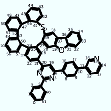 c1ccc(-c2nc(-c3ccc(-c4cccnc4)cc3)cc(-c3ccc4c(c3)-c3cc5oc6ccccc6c5cc3Sc3ccccc3-c3ccccc3-c3ccccc3-4)n2)cc1